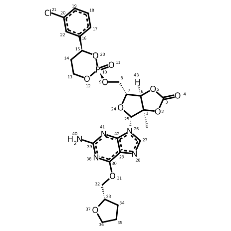 C[C@@]12OC(=O)O[C@@H]1[C@@H](CO[P@@]1(=O)OCC[C@@H](c3cccc(Cl)c3)O1)O[C@H]2n1cnc2c(OC[C@@H]3CCCO3)nc(N)nc21